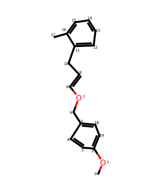 COc1ccc(COC=CCc2ccccc2C)cc1